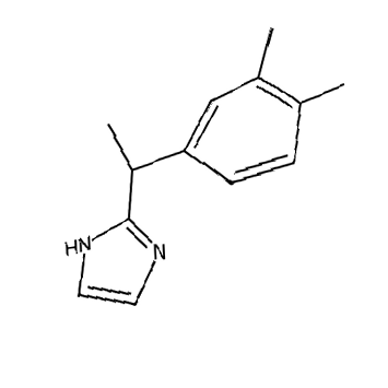 Cc1ccc(C(C)c2ncc[nH]2)cc1C